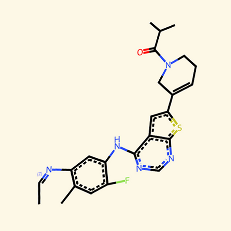 C/C=N\c1cc(Nc2ncnc3sc(C4=CCCN(C(=O)C(C)C)C4)cc23)c(F)cc1C